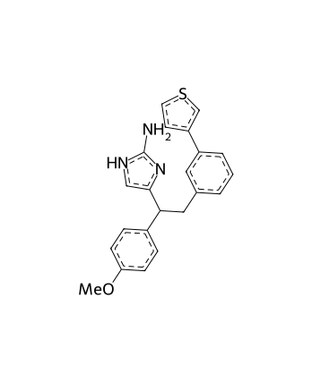 COc1ccc(C(Cc2cccc(-c3ccsc3)c2)c2c[nH]c(N)n2)cc1